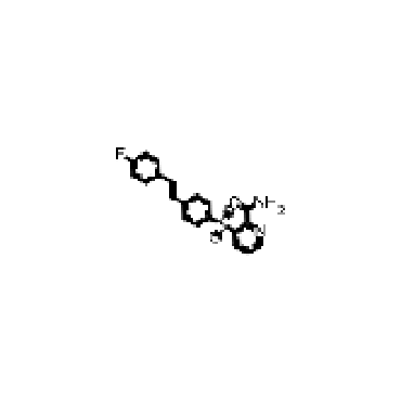 NC(=O)c1ncccc1S(=O)(=O)c1ccc(C=Cc2ccc(F)cc2)cc1